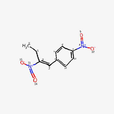 CC/C(=C\c1ccc([N+](=O)[O-])cc1)[N+](=O)[O-]